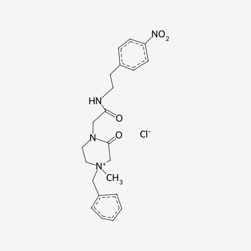 C[N+]1(Cc2ccccc2)CCN(CC(=O)NCCc2ccc([N+](=O)[O-])cc2)C(=O)C1.[Cl-]